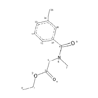 CCOC(=O)CN(C)C(=O)c1cccc(C)c1